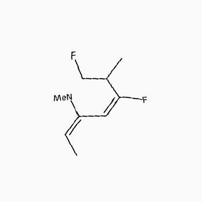 C/C=C(\C=C(\F)C(C)CF)NC